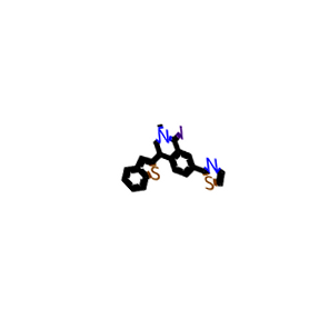 CN1CC(c2cc3ccccc3s2)c2ccc(-c3nccs3)cc2C1I